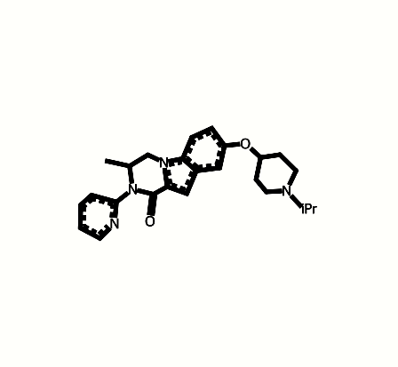 CC(C)N1CCC(Oc2ccc3c(c2)cc2n3CC(C)N(c3ccccn3)C2=O)CC1